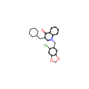 O=c1c(CC2CCCCC2)cn(Cc2cc3c(cc2Cl)OCO3)c2ccccc12